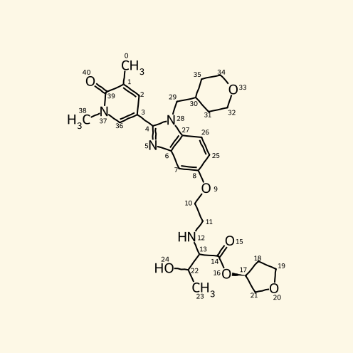 Cc1cc(-c2nc3cc(OCCNC(C(=O)O[C@H]4CCOC4)C(C)O)ccc3n2CC2CCOCC2)cn(C)c1=O